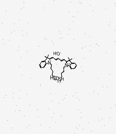 CC1(C)C(/C=C/C=C/C=C2\N(CCCCS(=O)(=O)O)c3ccccc3C2(C)C)=[N+](CCCCS(=O)(=O)O)c2ccccc21.[OH-]